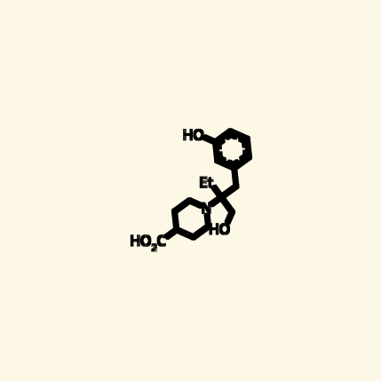 CCC(CO)(Cc1cccc(O)c1)N1CCC(C(=O)O)CC1